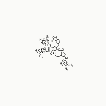 CC(C)(C)OC(=O)CCc1cc(Cc2cccc(C(=O)O)c2)c2c(c1C(=O)NCC(=O)OC(C)(C)C)OCCCc1cc(NC(=O)OC(C)(C)C)ccc1C(=O)O2